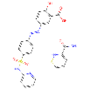 NC(=O)C1=CC=CSN1.O=C(O)c1cc(N=Nc2ccc(S(=O)(=O)Nc3ccccn3)cc2)ccc1O